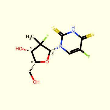 CC1(F)[C@@H](O)[C@@H](CO)O[C@H]1n1cc(F)c(=S)[nH]c1=S